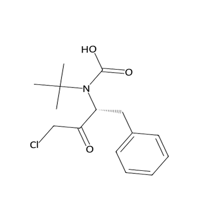 CC(C)(C)N(C(=O)O)[C@H](Cc1ccccc1)C(=O)CCl